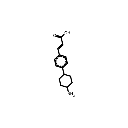 NC1CCC(c2ccc(C=CC(=O)O)cc2)CC1